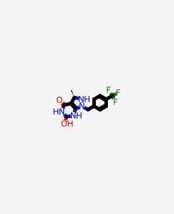 C[C@@H]1NN(CC2C=CC(C(F)(F)F)=CC2)C2=C1C(=O)NC(O)N2